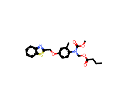 CCCC(=O)OCN(C(=O)OC)c1ccc(OCc2nc3ccccc3s2)cc1C